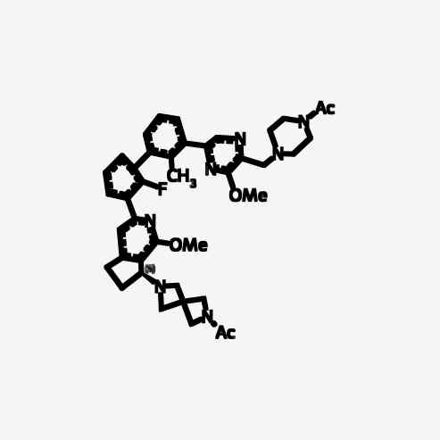 COc1nc(-c2cccc(-c3cccc(-c4cc5c(c(OC)n4)[C@@H](N4CC6(CN(C(C)=O)C6)C4)CC5)c3F)c2C)cnc1CN1CCN(C(C)=O)CC1